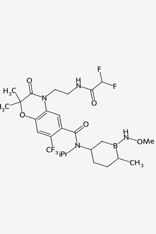 CONB1CC(N(C(=O)c2cc3c(cc2C(F)(F)F)OC(C)(C)C(=O)N3CCNC(=O)C(F)F)C(C)C)CCC1C